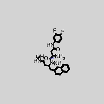 N/C(=C\N(N)C(CC(=O)NO)Cc1ccc2ccccc2c1)CC(=O)Nc1ccc(F)c(F)c1